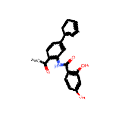 COC(=O)c1ccc(-c2ccccc2)cc1NC(=O)c1ccc(O)cc1O